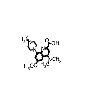 COc1cc(N2CCN(C)CC2)c2nc(C(=O)O)cc(N(C)C)c2c1